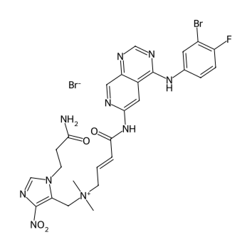 C[N+](C)(C/C=C/C(=O)Nc1cc2c(Nc3ccc(F)c(Br)c3)ncnc2cn1)Cc1c([N+](=O)[O-])ncn1CCC(N)=O.[Br-]